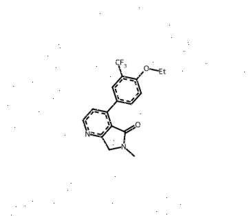 CCOc1ccc(-c2ccnc3c2C(=O)N(C)C3)cc1C(F)(F)F